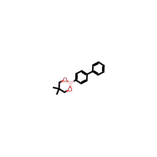 CC1(C)COB(c2ccc(-c3ccccc3)cc2)OC1